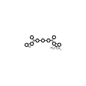 CC1(C)c2ccccc2-c2cc(N(c3ccccc3)c3ccc(-c4ccc(-c5ccc(N(c6ccccc6)c6ccc7oc8ccccc8c7c6)cc5)cc4)cc3)ccc21